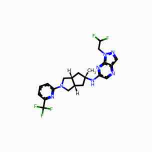 C[C@]1(Nc2cnc3cnn(CC(F)F)c3n2)C[C@H]2CN(c3cccc(C(F)(F)F)n3)C[C@H]2C1